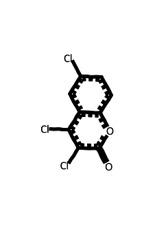 O=c1oc2ccc(Cl)cc2c(Cl)c1Cl